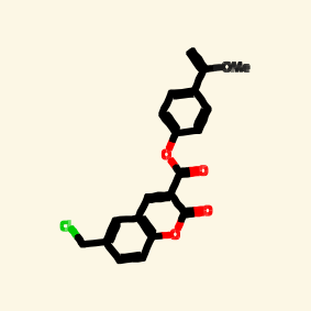 C=C(OC)c1ccc(OC(=O)c2cc3cc(CCl)ccc3oc2=O)cc1